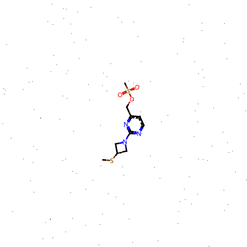 CSC1CN(c2nccc(COS(C)(=O)=O)n2)C1